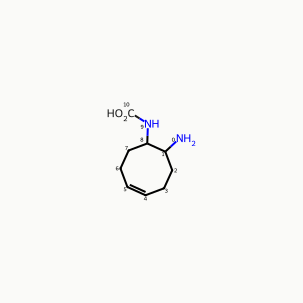 NC1CCC=CCCC1NC(=O)O